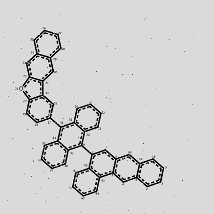 c1ccc2cc3c(cc(-c4c5ccccc5c(-c5ccc6oc7cc8ccccc8cc7c6c5)c5ccccc45)c4ccccc43)cc2c1